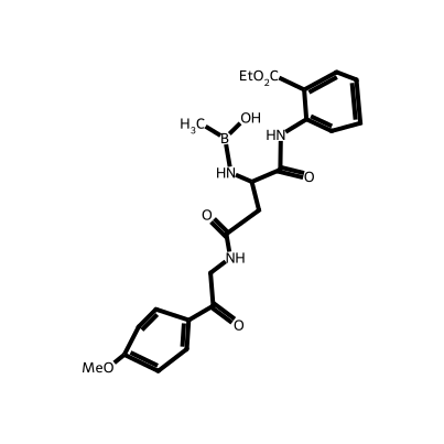 CCOC(=O)c1ccccc1NC(=O)C(CC(=O)NCC(=O)c1ccc(OC)cc1)NB(C)O